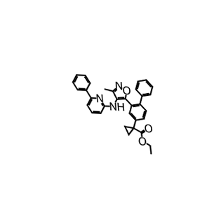 CCOC(=O)C1(c2ccc(-c3ccccc3)c(-c3onc(C)c3Nc3cccc(-c4ccccc4)n3)c2)CC1